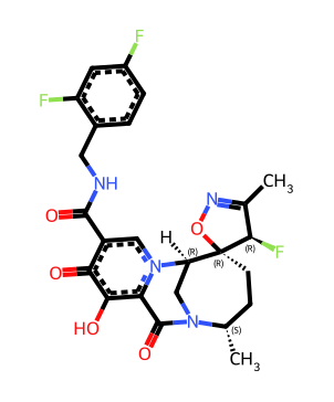 CC1=NO[C@@]2(CC[C@H](C)N3C[C@H]2n2cc(C(=O)NCc4ccc(F)cc4F)c(=O)c(O)c2C3=O)[C@@H]1F